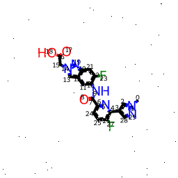 Cn1cc(-c2nc(C(=O)Nc3cc4cn(CC(=O)O)nc4cc3F)ccc2F)cn1